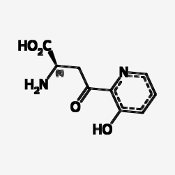 N[C@H](CC(=O)c1ncccc1O)C(=O)O